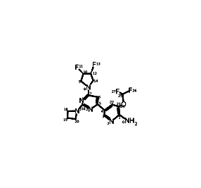 Nc1ncc(-c2cc(N3C[C@@H](F)[C@@H](F)C3)nc(N3CCC3)n2)cc1OC(F)F